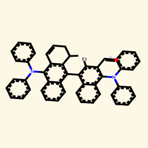 C/C=C\c1c(CC)c(-c2c3c(c(N(c4ccccc4)c4ccccc4)c4ccccc24)C=CCC3C)c2ccccc2c1N(c1ccccc1)c1ccccc1